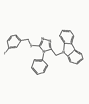 Fc1cccc(CSc2nnc(Cn3c4ccccc4c4ccccc43)n2-c2ccccc2)c1